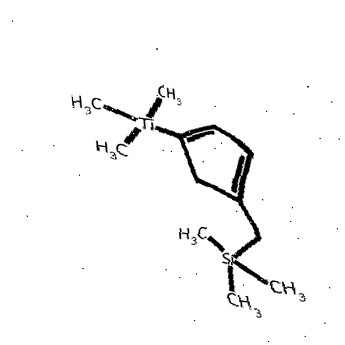 C[Si](C)(C)CC1=CC=[C]([Ti]([CH3])([CH3])[CH3])C1